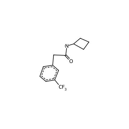 O=C(Cc1cccc(C(F)(F)F)c1)[N]C1CCC1